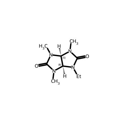 CCN1C(=O)N(C)[C@H]2[C@@H]1N(C)C(=O)N2C